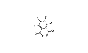 O=C(F)c1c(F)c(F)c(F)c(F)c1C(=O)F